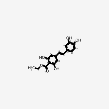 CCOC(=O)c1c(O)cc(/C=C/c2ccc(O)c(O)c2)cc1O